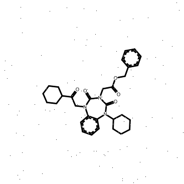 O=C(CN1C(=O)N(CC(=O)C2CCCCC2)c2ccccc2N(C2CCCCC2)C1=O)OCc1ccccc1